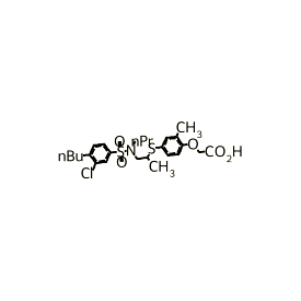 CCCCc1ccc(S(=O)(=O)N(CCC)CC(C)Sc2ccc(OCC(=O)O)c(C)c2)cc1Cl